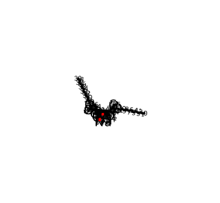 CCCCCCCCCCCCOc1ccc(C(CC(=O)CC(c2ccc(OCCCCCCCCCCCC)c(OC)c2)S(=O)(=O)[O-])S(=O)(=O)[O-])cc1OC.[Na+].[Na+]